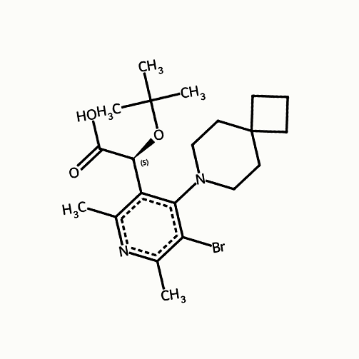 Cc1nc(C)c([C@H](OC(C)(C)C)C(=O)O)c(N2CCC3(CCC3)CC2)c1Br